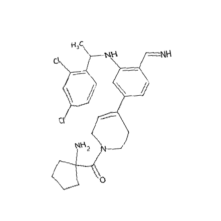 CC(Nc1cc(C2=CCN(C(=O)C3(N)CCCC3)CC2)ccc1C=N)c1ccc(Cl)cc1Cl